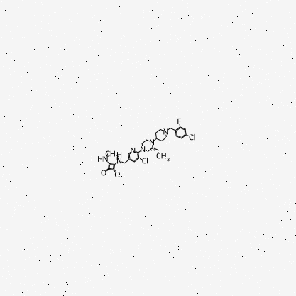 CC[C@H]1CN(c2ncc(CNc3c(NC)c(=O)c3=O)cc2Cl)CCN1C1CCN(Cc2ccc(Cl)cc2F)CC1